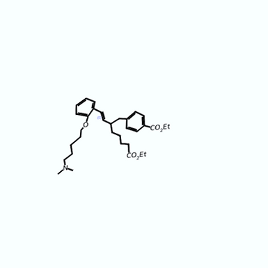 CCOC(=O)CCCCC(/C=C/c1ccccc1OCCCCCN(C)C)Cc1ccc(C(=O)OCC)cc1